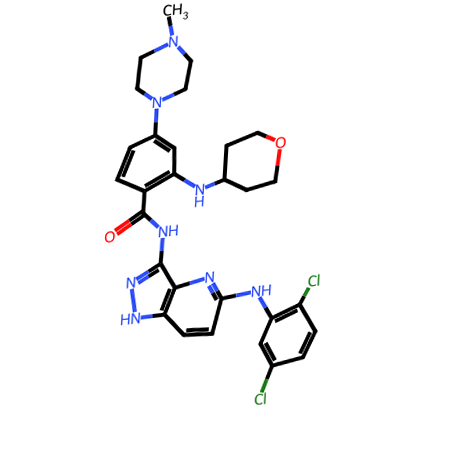 CN1CCN(c2ccc(C(=O)Nc3n[nH]c4ccc(Nc5cc(Cl)ccc5Cl)nc34)c(NC3CCOCC3)c2)CC1